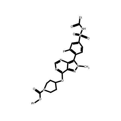 CCC(=O)NS(=O)(=O)c1ccc(-c2c3ncnc(OC4CCN(C(=O)OC(C)C)CC4)c3nn2C)c(F)c1